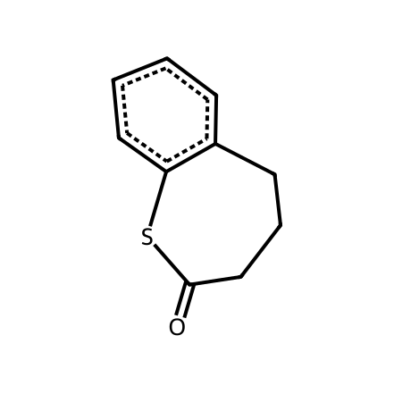 O=C1CCCc2ccccc2S1